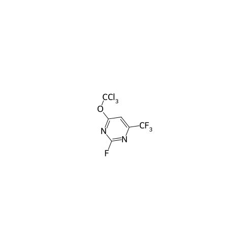 Fc1nc(OC(Cl)(Cl)Cl)cc(C(F)(F)F)n1